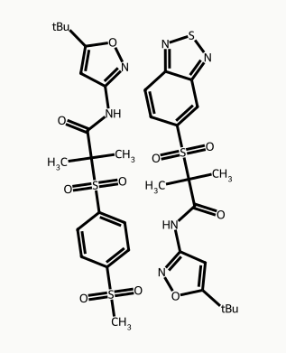 CC(C)(C)c1cc(NC(=O)C(C)(C)S(=O)(=O)c2ccc(S(C)(=O)=O)cc2)no1.CC(C)(C)c1cc(NC(=O)C(C)(C)S(=O)(=O)c2ccc3nsnc3c2)no1